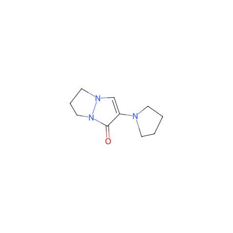 O=c1c(N2CCCC2)cn2n1CCC2